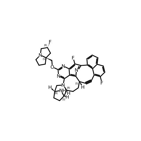 Fc1ccc2cccc3c2c1C#C[C@@H]1CC[C@@H]2[C@@H]4CC[C@H](CN2c2nc(OC[C@@]56CCCN5C[C@H](F)C6)nc5c(F)c-3nc1c25)N4